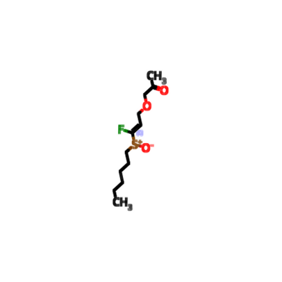 CCCCCC[S+]([O-])/C(F)=C/COCC(C)=O